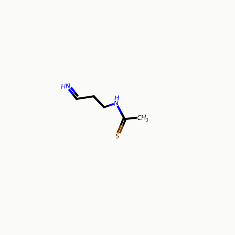 CC(=S)NCCC=N